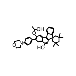 CC(O)Oc1cc2c3c(cc(O)c2cc1-c1ccc(N2CCOCC2)cc1)C1(CC(C)(C)CC(C)(C)C1)c1ccccc1-3